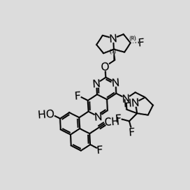 C#Cc1c(F)ccc2cc(O)cc(-c3ncc4c(N5CC6CCC(C(F)F)(C5)N6)nc(OC[C@@]56CCCN5C[C@H](F)C6)nc4c3F)c12